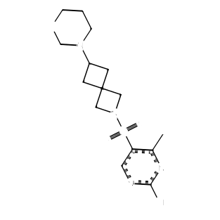 Cc1nc(C(F)(F)F)ncc1S(=O)(=O)N1CC2(CC(N3CCCOC3)C2)C1